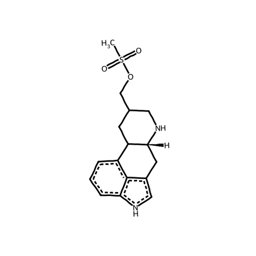 CS(=O)(=O)OCC1CN[C@@H]2Cc3c[nH]c4cccc(c34)C2C1